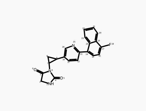 O=C1CNC(=O)N1C1CC1c1ccc(-c2ccc(F)c3ccccc23)nc1